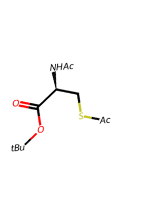 CC(=O)N[C@@H](CSC(C)=O)C(=O)OC(C)(C)C